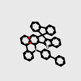 c1ccc(-c2ccc(N(c3ccccc3-c3ccccc3)c3cccc4c3-c3oc5ccccc5c3C43c4ccccc4-c4ccccc43)cc2)cc1